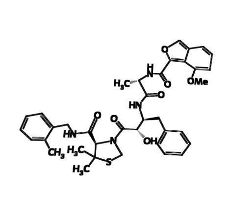 COc1cccc2coc(C(=O)N[C@@H](C)C(=O)N[C@@H](Cc3ccccc3)[C@H](O)C(=O)N3CSC(C)(C)[C@H]3C(=O)NCc3ccccc3C)c12